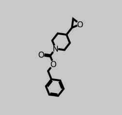 O=C(OCc1ccccc1)N1CCC(C2CO2)CC1